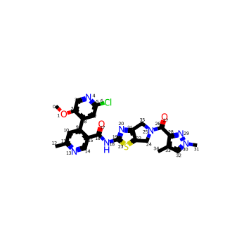 COc1cnc(Cl)cc1-c1cc(C)ncc1C(=O)Nc1nc2c(s1)CN(C(=O)c1nn(C)cc1C)C2